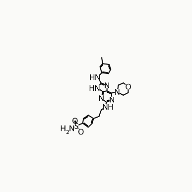 Cc1cccc(Nc2nc3c(N4CCOCC4)nc(NCCc4ccc(S(N)(=O)=O)cc4)nc3[nH]2)c1